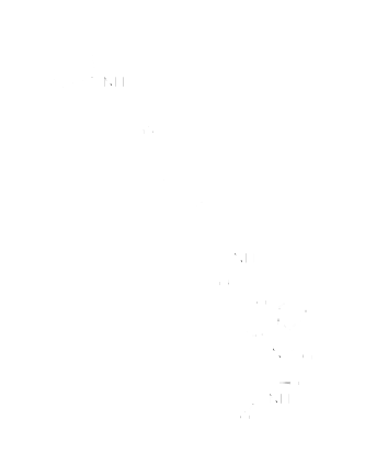 CC(C)(C)OC(=O)NCCCOCCOCCOCCCNC(=O)COc1cccc2c1C(=O)N(C1CCC(=O)NC1=O)C2O